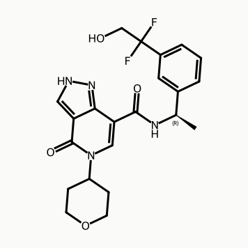 C[C@@H](NC(=O)c1cn(C2CCOCC2)c(=O)c2c[nH]nc12)c1cccc(C(F)(F)CO)c1